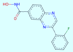 O=C(NO)c1ccc2ncc(-c3ccccc3F)nc2c1